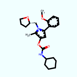 Cc1c(OC(=O)NC2CCCCC2)cc(-c2ccccc2OC(F)(F)F)n1C[C@@H]1CCCO1